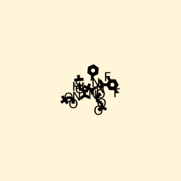 CC(=O)OCC(=O)N(CC(CNC(=O)OC(C)(C)C)CO[Si](C)(C)C(C)(C)C)C(c1nc(-c2cc(F)ccc2F)cn1Cc1ccccc1)C(C)(C)C